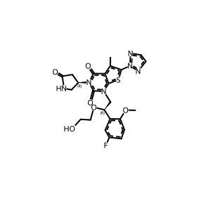 COc1ccc(F)cc1[C@H](Cn1c(=O)n([C@H]2CNC(=O)C2)c(=O)c2c(C)c(-n3nccn3)sc21)OCCO